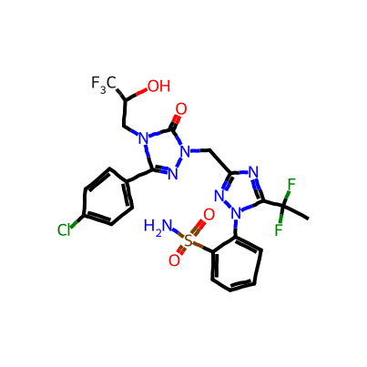 CC(F)(F)c1nc(Cn2nc(-c3ccc(Cl)cc3)n(CC(O)C(F)(F)F)c2=O)nn1-c1ccccc1S(N)(=O)=O